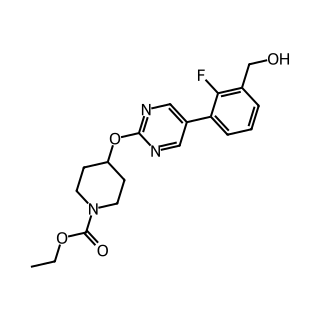 CCOC(=O)N1CCC(Oc2ncc(-c3cccc(CO)c3F)cn2)CC1